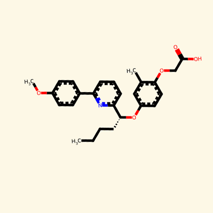 CCCC[C@@H](Oc1ccc(OCC(=O)O)c(C)c1)c1cccc(-c2ccc(OC)cc2)n1